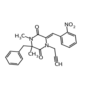 C#CCN1C(=O)C(C)(Cc2ccccc2)N(C)C(=O)C1=Cc1ccccc1[N+](=O)[O-]